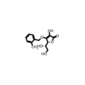 Cc1ccccc1COC1=C(O)C(=O)O[C@@H]1[C@@H](O)CO